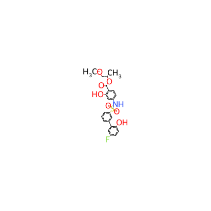 COCC(C)OC(=O)c1ccc(NS(=O)(=O)c2cccc(-c3cc(F)ccc3O)c2)cc1O